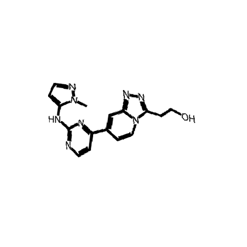 Cn1nccc1Nc1nccc(-c2ccn3c(CCO)nnc3c2)n1